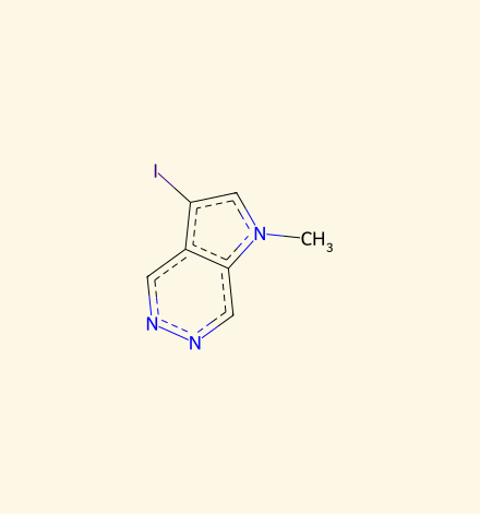 Cn1cc(I)c2cnncc21